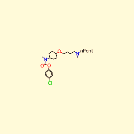 CCCCCN(C)CCCCOC1CCC(N(C)C(=O)Oc2ccc(Cl)cc2)CC1